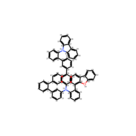 c1ccc(-c2ccccc2-c2cccc(N(c3ccc(-c4cccc(-c5ccccc5-n5c6ccccc6c6ccccc65)c4)cc3)c3ccccc3-c3cccc4c3oc3ccccc34)c2)cc1